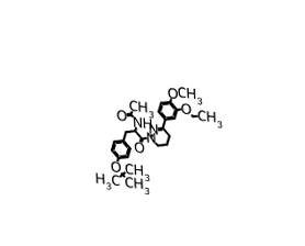 CCOc1cc(C2=NN(C(=O)C(Cc3ccc(OC(C)(C)C)cc3)NC(C)=O)CCC2)ccc1OC